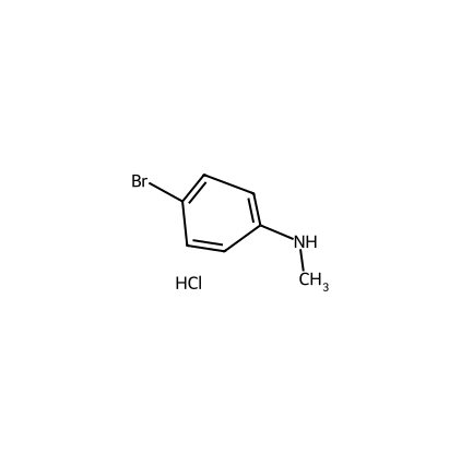 CNc1ccc(Br)cc1.Cl